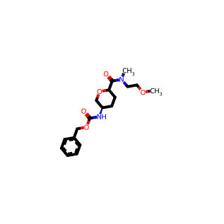 COCCN(C)C(=O)C1CC[C@@H](NC(=O)OCc2ccccc2)CO1